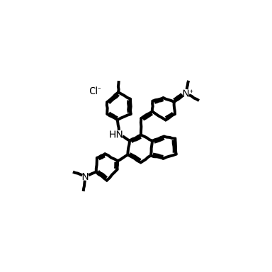 Cc1ccc(Nc2c(-c3ccc(N(C)C)cc3)cc3ccccc3c2C=C2C=CC(=[N+](C)C)C=C2)cc1.[Cl-]